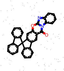 O=c1c2cc3c(cc2oc2nc4ccccc4n12)C1(c2ccccc2-c2ccccc21)c1ccccc1-3